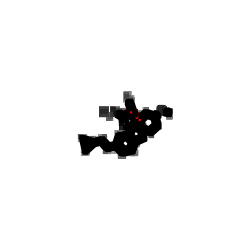 COC1CCC2(CC1)Cc1ccc(CCC3CC3)cc1C21N=C(N)c2c(F)cccc21